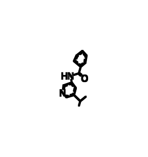 CC(C)c1cncc(NC(=O)c2ccccc2)c1